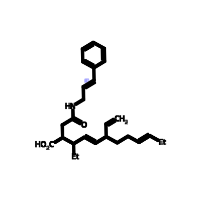 C=CC(C=CC(CC)C(CC(=O)NC/C=C/c1ccccc1)C(=O)O)CCC=CCC